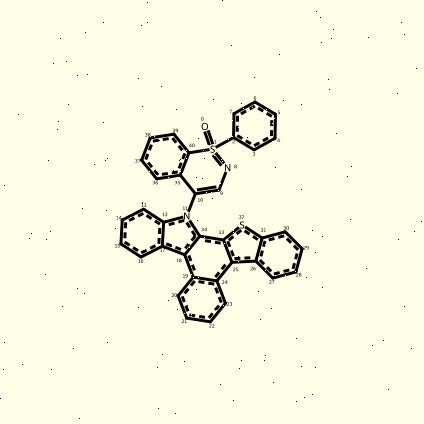 O=S1(c2ccccc2)=NC=C(n2c3ccccc3c3c4ccccc4c4c5ccccc5sc4c32)c2ccccc21